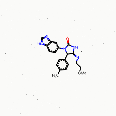 COCCN=C1NC(=O)N(c2ccc3[nH]cnc3c2)C1c1ccc(C)cc1